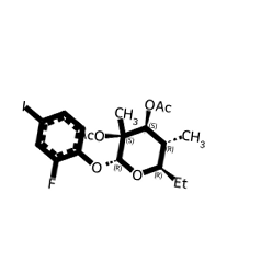 CC[C@H]1O[C@H](Oc2ccc(I)cc2F)[C@@](C)(OC(C)=O)[C@@H](OC(C)=O)[C@@H]1C